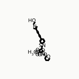 C[C@@](CCc1nc2ccc(C#CC#CC3CN(CCO)C3)cc2s1)(C(=O)NOC1CCCCO1)S(C)(=O)=O